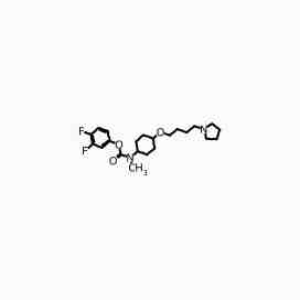 CN(C(=O)Oc1ccc(F)c(F)c1)C1CCC(OCCCCN2CCCC2)CC1